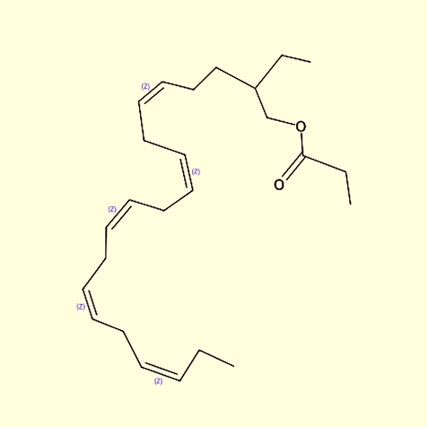 CC/C=C\C/C=C\C/C=C\C/C=C\C/C=C\CCC(CC)COC(=O)CC